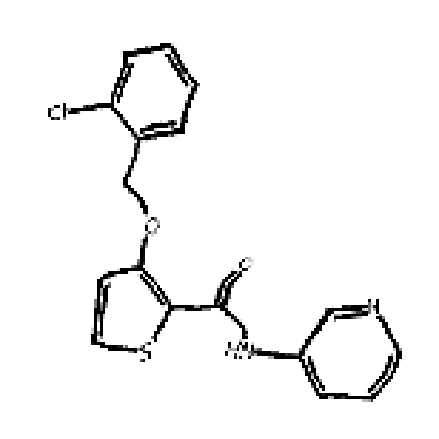 O=C(Nc1cccnc1)c1sccc1OCc1ccccc1Cl